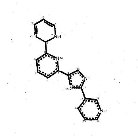 C1=CNC(c2cccc(-c3cnc(-c4cccnc4)s3)n2)N=C1